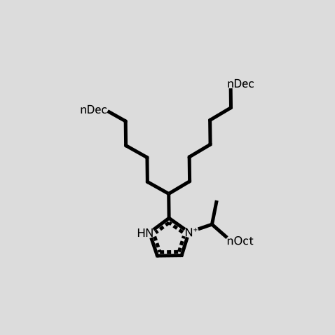 CCCCCCCCCCCCCCCC(CCCCCCCCCCCCCC)c1[nH]cc[n+]1C(C)CCCCCCCC